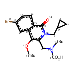 CCCCOc1c(CN(C(=O)O)C(C)(C)C)n(CC2CC2)c(=O)c2ccc(Br)cc12